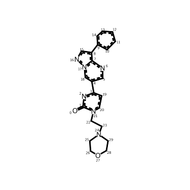 O=c1nc(-c2cnc3c(-c4ccccc4)cnn3c2)ccn1CCN1CCOCC1